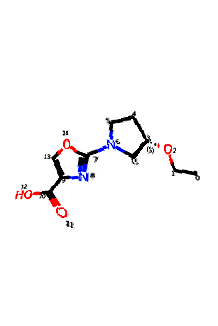 CCO[C@H]1CCN(c2nc(C(=O)O)co2)C1